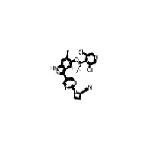 C[C@@H](Oc1cc2c(-c3cnc(N4CCC4C#N)nc3)n[nH]c2cc1F)c1c(Cl)cncc1Cl